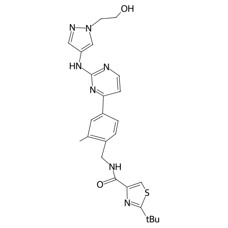 Cc1cc(-c2ccnc(Nc3cnn(CCO)c3)n2)ccc1CNC(=O)c1csc(C(C)(C)C)n1